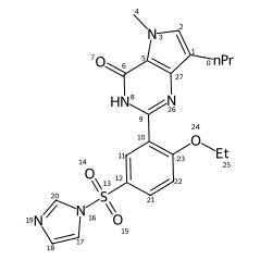 CCCc1cn(C)c2c(=O)[nH]c(-c3cc(S(=O)(=O)n4ccnc4)ccc3OCC)nc12